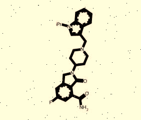 CC(C)n1cc(CN2CCC(N3Cc4cc(F)cc(C(N)=O)c4C3=O)CC2)c2ccccc21